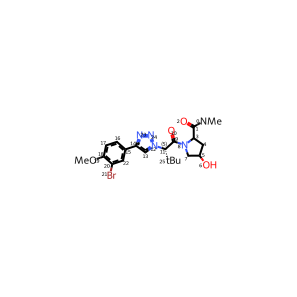 CNC(=O)C1CC(O)CN1C(=O)[C@@H](n1cc(-c2ccc(OC)c(Br)c2)nn1)C(C)(C)C